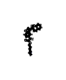 C/C=C/CCCOC(=O)Nc1ccc2occ(C3=CCN4CCCCC4CC3)c2c1